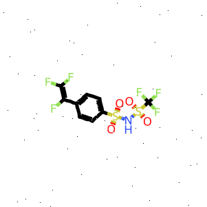 O=S(=O)(NS(=O)(=O)C(F)(F)F)c1ccc(C(F)=C(F)F)cc1